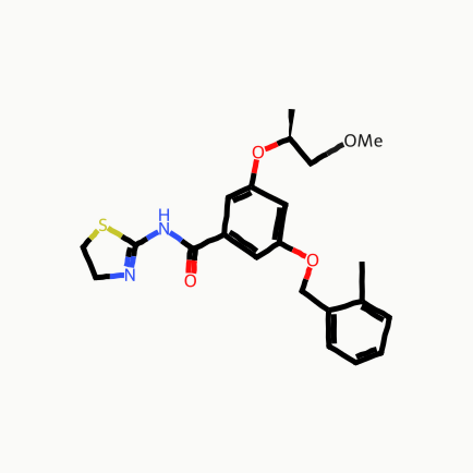 COC[C@H](C)Oc1cc(OCc2ccccc2C)cc(C(=O)NC2=NCCS2)c1